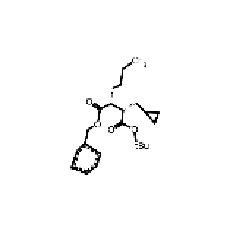 CC(C)(C)OC(=O)[C@@H](CC1CC1)[C@@H](CCCC(F)(F)F)C(=O)OCc1ccccc1